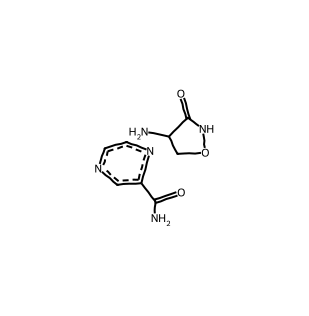 NC(=O)c1cnccn1.NC1CONC1=O